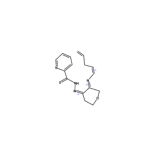 C=CC\C=C/N=C1\COCC\C1=N\NC(=S)c1ccccn1